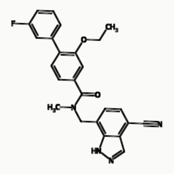 CCOc1cc(C(=O)N(C)Cc2ccc(C#N)c3cn[nH]c23)ccc1-c1cccc(F)c1